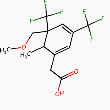 COCC1(C(F)(F)F)C=C(C(F)(F)F)C=C(CC(=O)O)C1C